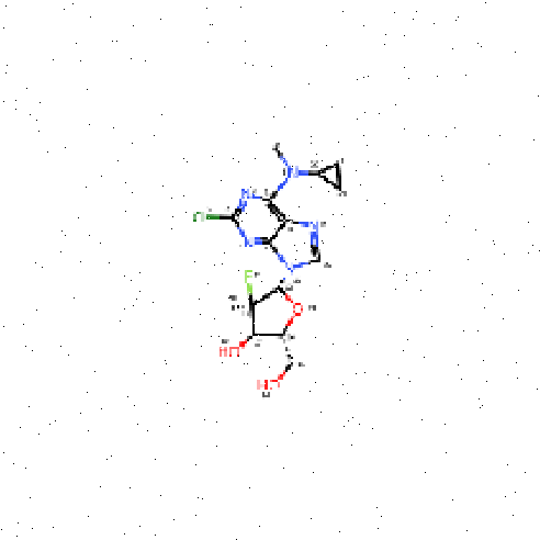 CN(c1nc(Cl)nc2c1ncn2[C@@H]1O[C@H](CO)[C@@H](O)[C@@]1(C)F)C1CC1